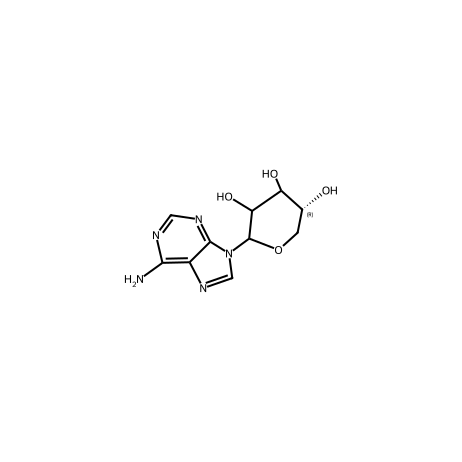 Nc1ncnc2c1ncn2C1OC[C@@H](O)C(O)C1O